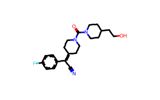 N#CC(=C1CCN(C(=O)N2CCC(CCO)CC2)CC1)c1ccc(F)cc1